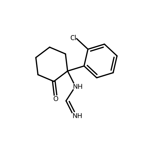 N=CNC1(c2ccccc2Cl)CCCCC1=O